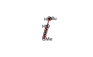 COCCOCCOCCOCCOCCOCCOCCNC(=O)CCCCCCCCCCNC(=O)OC(C)(C)C